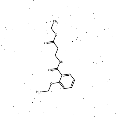 CCOC(=O)CCNC(=O)c1ccccc1OCC